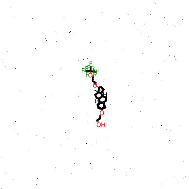 C[C@]12CC[C@@H]3c4ccc(OCCCO)cc4CC[C@H]3[C@@H]1CC[C@@H]2OCCCOC(C(F)(F)F)(C(F)(F)F)C(F)(F)F